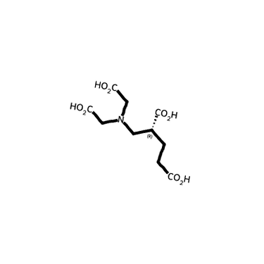 O=C(O)CC[C@H](CN(CC(=O)O)CC(=O)O)C(=O)O